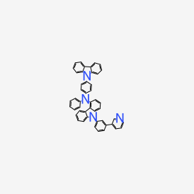 c1ccc(N(c2ccc(-n3c4ccccc4c4ccccc43)cc2)c2cccc3c2c2ccccc2n3-c2cccc(-c3cccnc3)c2)cc1